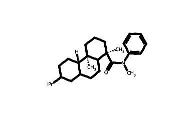 CC(C)C1CC[C@H]2C(CCC3[C@](C)(C(=O)N(C)c4ccccc4)CCC[C@@]32C)C1